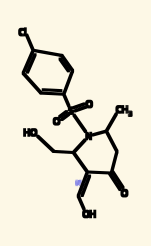 CC1CC(=O)/C(=C\O)C(CO)N1S(=O)(=O)c1ccc(Cl)cc1